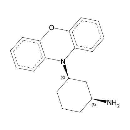 N[C@H]1CCC[C@@H](N2c3ccccc3Oc3ccccc32)C1